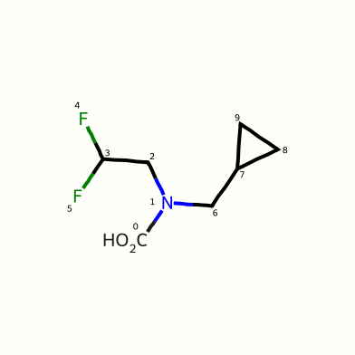 O=C(O)N(CC(F)F)CC1CC1